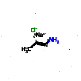 CC=CN.[Cl-].[Na+]